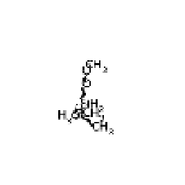 CCCC[Si](C)(C)O[SiH2]CCCOCCOC